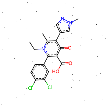 CCn1c(C)c(-c2cnn(C)c2)c(=O)c(C(=O)O)c1-c1ccc(Cl)c(Cl)c1